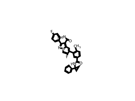 CNC(=O)c1c(-c2ccc(F)cc2)nn2cc(F)c(-c3cc(C(=O)NC4(c5ccccc5)CC4)ccc3C)cc12